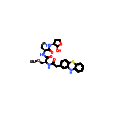 CC(C)C[C@H](NC(=O)[C@H](COC(C)(C)C)NC(=O)Cc1ccc2c(c1)Nc1ccccc1S2)C(=O)N[C@H]1CCOC1O